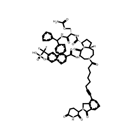 NC(=O)OC[C@H](NC(=O)[C@@H]1CC[C@@H]2CCN(C(=O)CCCCCC#Cc3cccc4c3CN(C3CCC(=O)NC3=O)C4=O)C[C@H](NC(=O)c3ccc4ccc(C(F)(F)P(=O)(O)O)cc4c3)C(=O)N21)C(=O)NC(c1ccccc1)c1ccccc1